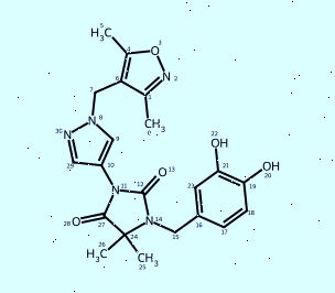 Cc1noc(C)c1Cn1cc(N2C(=O)N(Cc3ccc(O)c(O)c3)C(C)(C)C2=O)cn1